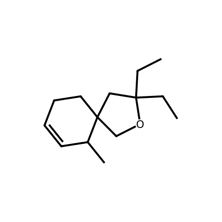 CCC1(CC)CC2(CCC=CC2C)CO1